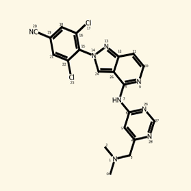 CN(C)Cc1cc(Nc2nccc3nn(-c4c(Cl)cc(C#N)cc4Cl)cc23)ncn1